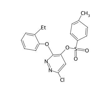 CCc1ccccc1Oc1nnc(Cl)cc1OS(=O)(=O)c1ccc(C)cc1